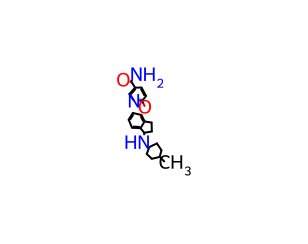 CC1CCC(NC2CCc3c(Oc4ccc(C(N)=O)cn4)cccc32)CC1